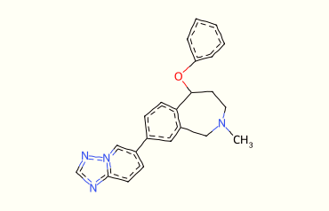 CN1CCC(Oc2ccccc2)c2ccc(-c3ccc4ncnn4c3)cc2C1